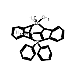 CC1=C2c3ccccc3[CH]1[Zr]([CH3])([CH3])[CH]1C(C)=C(c3ccccc31)[Si]2(c1ccccc1)c1ccccc1